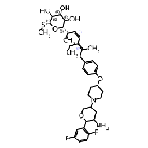 C=C(/C=C\C(CC)=C(/C)Cc1ccc(OC2CCN(C3COC(c4cc(F)ccc4F)C(N)C3)CC2)cc1)[C@@H]1O[C@H](SC)[C@@H](O)[C@H](O)[C@H]1O